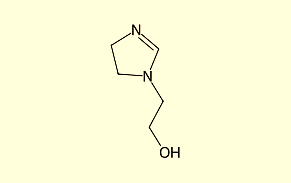 OCCN1C=NCC1